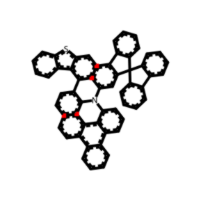 c1ccc(N(c2ccc3c(c2)C2(c4ccccc4-c4ccccc42)c2ccccc2-3)c2cccc3c4ccccc4c4ccccc4c23)c(-c2cccc3sc4ccccc4c23)c1